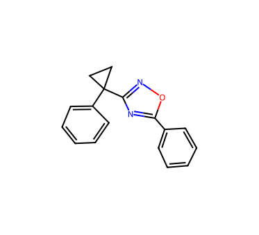 c1ccc(-c2nc(C3(c4ccccc4)CC3)no2)cc1